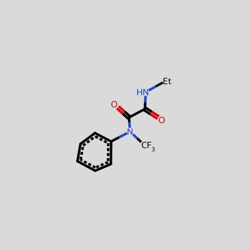 CCNC(=O)C(=O)N(c1ccccc1)C(F)(F)F